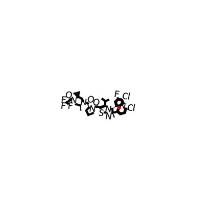 CC(C)C1=C(C(=O)N2CCC[C@H]2C(=O)N2CC3(CC3)N(C(=O)C(F)(F)F)C[C@@H]2C)SC2=N[C@@](C)(c3ccc(Cl)nc3)[C@@H](c3ccc(Cl)c(F)c3)N21